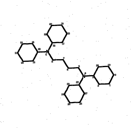 C1CCC(N(CCCCN(C2CCCCC2)C2CCCCC2)C2CCCCC2)CC1